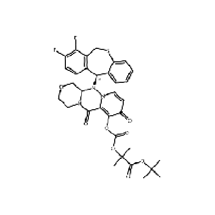 CC(C)(C)OC(=O)C(C)(C)OC(=O)Oc1c2n(ccc1=O)N([C@@H]1c3ccccc3SCc3c1ccc(F)c3F)C1COCCN1C2=O